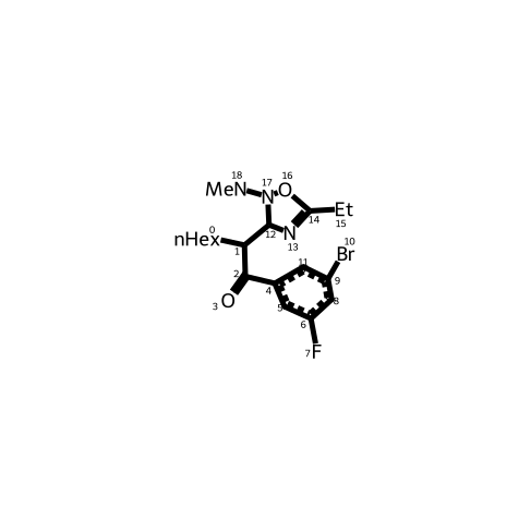 CCCCCCC(C(=O)c1cc(F)cc(Br)c1)C1N=C(CC)ON1NC